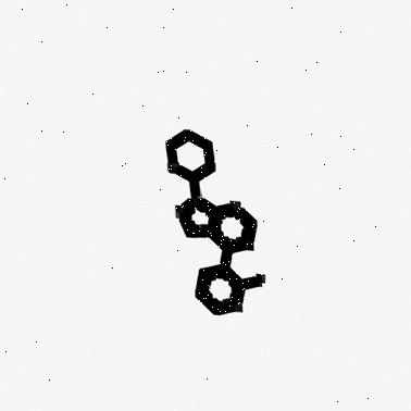 Fc1ncccc1-c1ncnc2c1cnn2C1CCCCO1